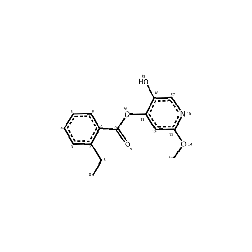 CCc1ccccc1C(=O)Oc1cc(OC)ncc1O